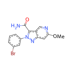 COc1cc2nn(-c3cccc(Br)c3)c(C(N)=O)c2cn1